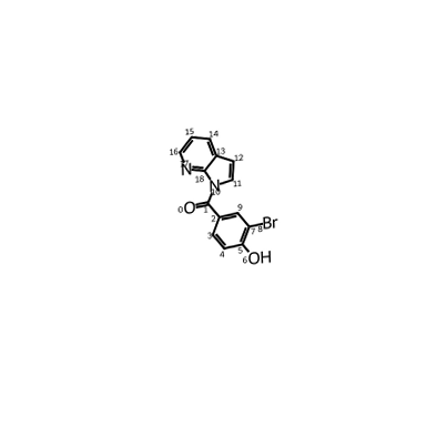 O=C(c1ccc(O)c(Br)c1)n1ccc2cccnc21